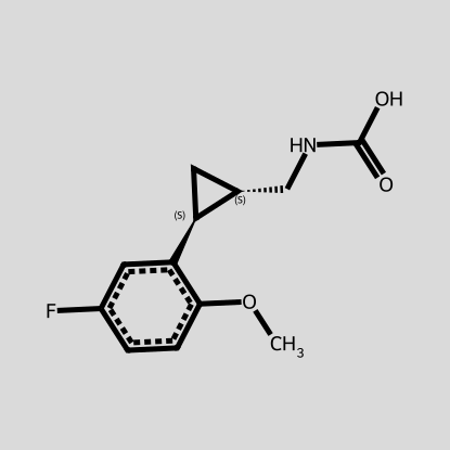 COc1ccc(F)cc1[C@H]1C[C@@H]1CNC(=O)O